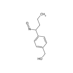 CCCC(N=O)c1ccc(CO)cc1